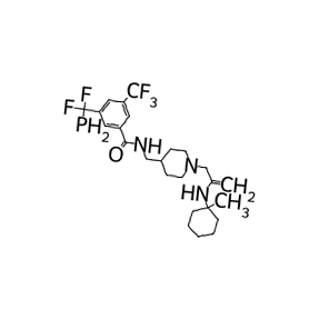 C=C(CN1CCC(CNC(=O)c2cc(C(F)(F)F)cc(C(F)(F)P)c2)CC1)NC1(C)CCCCC1